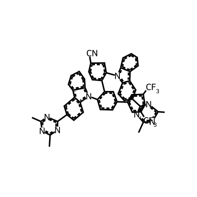 Cc1nc(C)nc(-c2ccc3c(c2)c2ccccc2n3-c2ccc(-c3cc(C(F)(F)F)cc(C(F)(F)F)c3)cc2-c2ccc(C#N)cc2-n2c3ccccc3c3cc(-c4nc(C)nc(C)n4)ccc32)n1